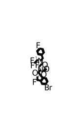 C[C@H](N(Cc1ccc(F)cc1)C(=O)CN1C(=O)O[C@]2(CC(F)c3cc(Br)ccc32)C1=O)C(F)(F)F